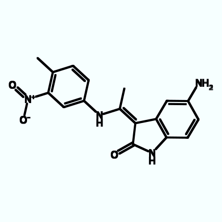 C/C(Nc1ccc(C)c([N+](=O)[O-])c1)=C1/C(=O)Nc2ccc(N)cc21